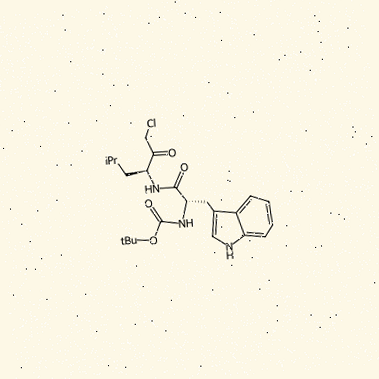 CC(C)C[C@H](NC(=O)[C@H](Cc1c[nH]c2ccccc12)NC(=O)OC(C)(C)C)C(=O)CCl